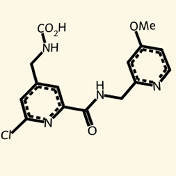 COc1ccnc(CNC(=O)c2cc(CNC(=O)O)cc(Cl)n2)c1